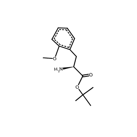 COc1ccccc1C[C@H](N)C(=O)OC(C)(C)C